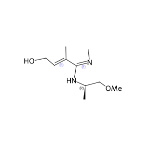 C/N=C(N[C@H](C)COC)\C(C)=C\CO